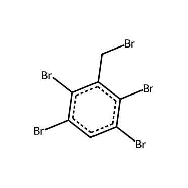 BrCc1c(Br)c(Br)cc(Br)c1Br